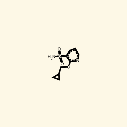 NS(=O)(=O)c1cccnc1OCC1CC1